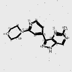 Clc1ncc2[nH]nc(-c3ccnc(N4CCOCC4)c3)c2n1